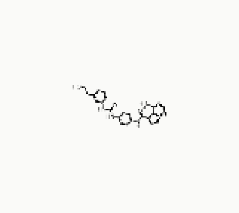 Nc1ncnn2ccc(C(=O)Nc3ccc(NC(=O)Nc4cccc(CCO)c4)cc3)c12